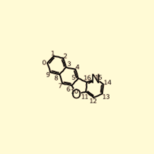 c1ccc2cc3c(cc2c1)oc1cccnc13